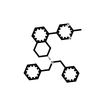 Cc1ncc(-c2cccc3c2C[C@H](N(Cc2ccccc2)Cc2ccccc2)CC3)cn1